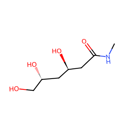 CNC(=O)C[C@H](O)C[C@@H](O)CO